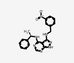 C[C@@H](Nc1ncnc2[nH]nc(NCc3cccc([N+](=O)[O-])c3)c12)c1ccccc1